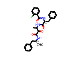 CC(NC(=O)[C@H](Cc1ccccc1)NC(=O)c1ccccc1F)C(=O)C(=O)N[C@H](C=O)Cc1ccccc1